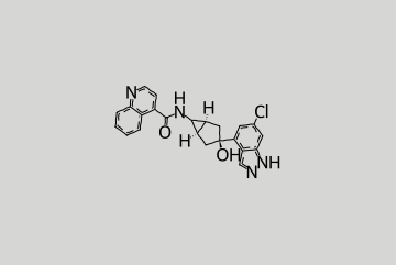 O=C(NC1[C@H]2C[C@](O)(c3cc(Cl)cc4[nH]ncc34)C[C@@H]12)c1ccnc2ccccc12